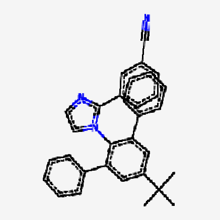 CC(C)(C)c1cc(-c2ccccc2)c(-n2ccnc2-c2cccc(C#N)c2)c(-c2ccccc2)c1